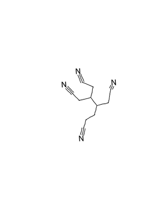 N#CCCC(CC#N)C(CC#N)CC#N